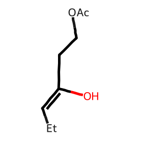 CCC=C(O)CCOC(C)=O